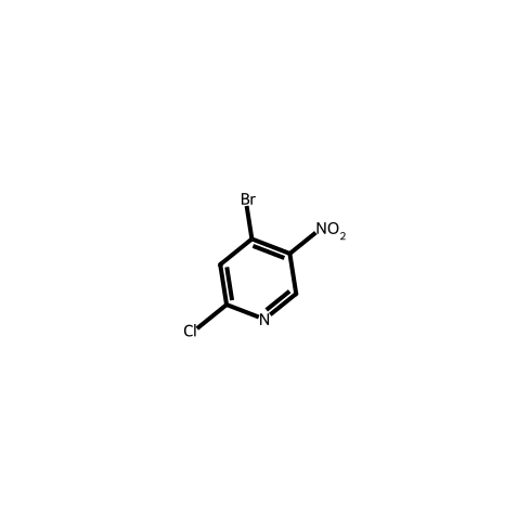 O=[N+]([O-])c1cnc(Cl)cc1Br